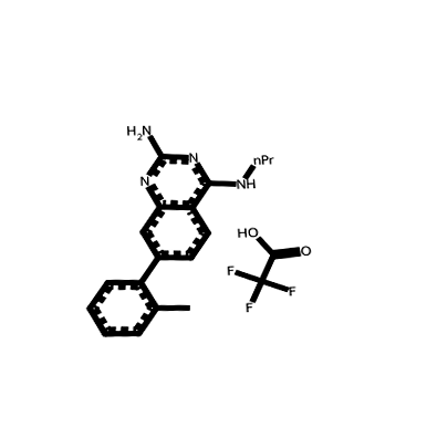 CCCNc1nc(N)nc2cc(-c3ccccc3C)ccc12.O=C(O)C(F)(F)F